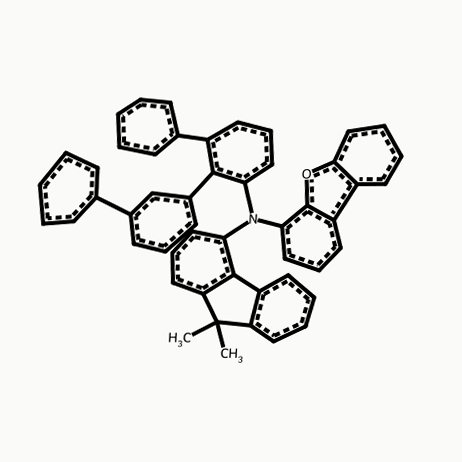 CC1(C)c2ccccc2-c2c(N(c3cccc(-c4ccccc4)c3-c3cccc(-c4ccccc4)c3)c3cccc4c3oc3ccccc34)cccc21